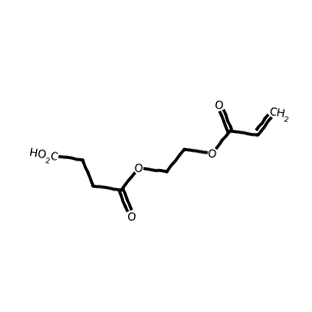 C=CC(=O)OCCOC(=O)CCC(=O)O